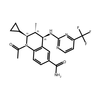 CC(=O)N1c2ccc(C(N)=O)cc2[C@H](Nc2nccc(C(F)(F)F)n2)[C@@H](C)[C@@H]1C1CC1